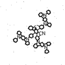 Cc1cc(-n2c3ccccc3c3cc4c(cc32)c2ccccc2n4-c2ccccc2)ccc1-c1c(C#N)c(-c2ccc(-n3c4ccccc4c4cc5c(cc43)c3ccccc3n5-c3ccccc3)cc2C)c2sc3ccccc3c2c1-c1ccc(-n2c3ccccc3c3cc4c(cc32)c2ccccc2n4-c2ccccc2)cc1C